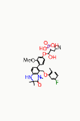 COc1cc(OC(O)C(CC#N)P(=O)(O)O)ccc1-c1ccc2c(c1COc1cc(F)ccc1C)N(C)C(=O)C(C)(C)N2